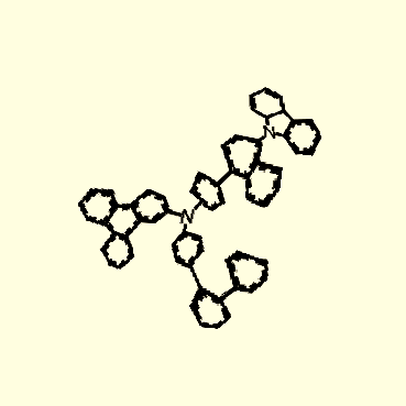 C1=CC2c3ccccc3N(c3ccc(-c4ccc(N(c5ccc(-c6ccccc6-c6ccccc6)cc5)c5ccc6c7ccccc7c7ccccc7c6c5)cc4)c4ccccc34)C2C=C1